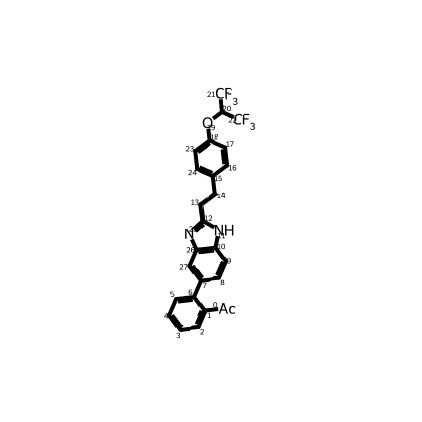 CC(=O)c1ccccc1-c1ccc2[nH]c(CCc3ccc(OC(C(F)(F)F)C(F)(F)F)cc3)nc2c1